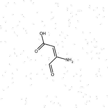 N/C(C=O)=C/C(=O)O